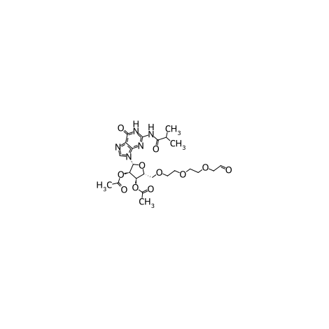 CC(=O)O[C@@H]1[C@H](OC(C)=O)[C@@H](COCCOCCOCC=O)O[C@H]1n1cnc2c(=O)[nH]c(NC(=O)C(C)C)nc21